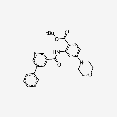 CC(C)(C)OC(=O)c1ccc(N2CCOCC2)cc1NC(=O)c1cncc(-c2ccccc2)c1